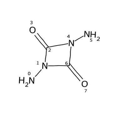 NN1C(=O)N(N)C1=O